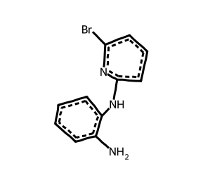 Nc1ccccc1Nc1cccc(Br)n1